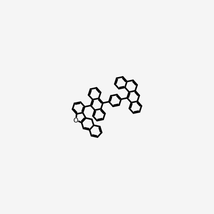 C1=CC2=Cc3oc4cccc(-c5c6ccccc6c(-c6ccc(-c7c8ccccc8cc8ccc9ccccc9c78)cc6)c6ccccc56)c4c3CC2C=C1